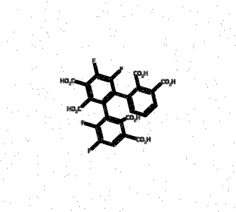 O=C(O)c1cccc(-c2c(F)c(F)c(C(=O)O)c(C(=O)O)c2-c2c(F)c(F)cc(C(=O)O)c2C(=O)O)c1C(=O)O